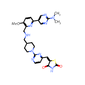 COc1ccc(-c2cnc(N(C)C)nc2)nc1CNCC1CCN(c2nccc(C=C3SC(=O)NC3=O)n2)CC1